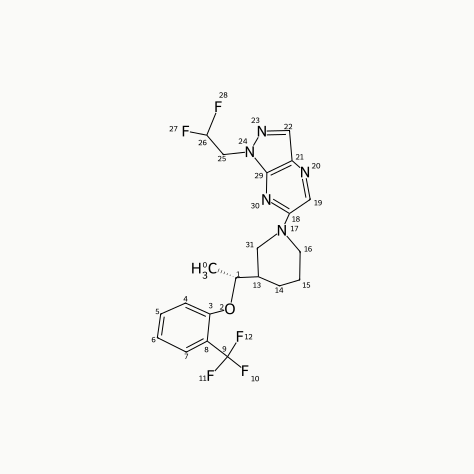 C[C@@H](Oc1ccccc1C(F)(F)F)C1CCCN(c2cnc3cnn(CC(F)F)c3n2)C1